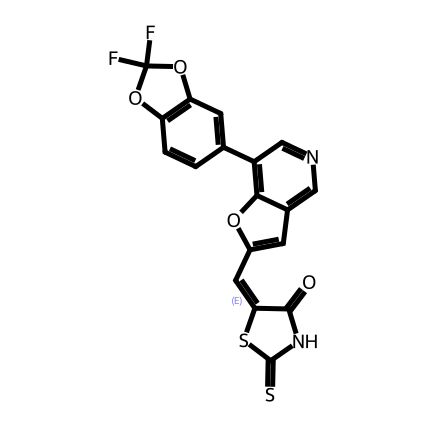 O=C1NC(=S)S/C1=C/c1cc2cncc(-c3ccc4c(c3)OC(F)(F)O4)c2o1